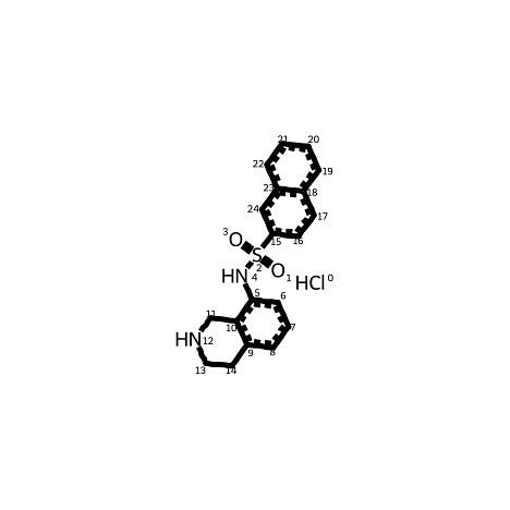 Cl.O=S(=O)(Nc1cccc2c1CNCC2)c1ccc2ccccc2c1